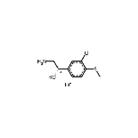 CSc1ccc([C@H](O)CN)cc1Cl.Cl